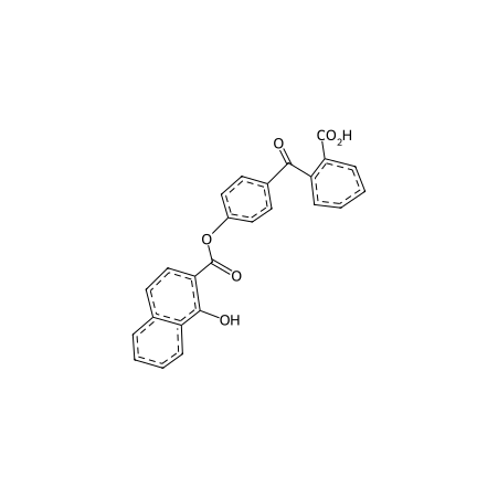 O=C(O)c1ccccc1C(=O)c1ccc(OC(=O)c2ccc3ccccc3c2O)cc1